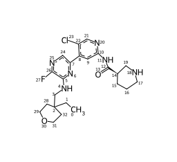 CCC1(CNc2nc(-c3cc(NC(=O)[C@@H]4CCCNC4)ncc3Cl)cnc2F)CCOCC1